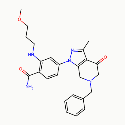 COCCCNc1cc(-n2nc(C)c3c2CN(Cc2ccccc2)CC3=O)ccc1C(N)=O